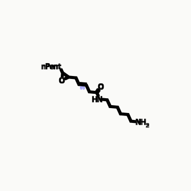 CCCCCC1OC1C/C=C/CC(=O)NCCCCCCN